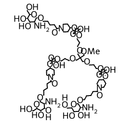 COCC(COCCCOP(=O)(O)OC1CCN(C(=O)CCCCO[C@@H]2OC(CO)[C@H](O)C(O)[C@@H]2N)CC1)(COCCCOP(=O)(O)OC1CCN(C(=O)CCCCO[C@@H]2OC(CO)[C@H](O)C(O)[C@@H]2N)CC1)COCCCOP(=O)(O)OC1CCN(C(=O)CCCCO[C@@H]2OC(CO)[C@H](O)C(O)[C@@H]2N)CC1